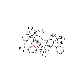 [CH2]=[Zr]([Cl])([Cl])([c]1ccc(C(F)(F)F)cc1)([c]1ccc(C(F)(F)F)cc1)([CH]1C=CC=C1)[CH]1c2cc(-c3ccccc3)c(C(C)(C)C)cc2-c2cc(C(C)(C)C)c(-c3ccccc3)cc21